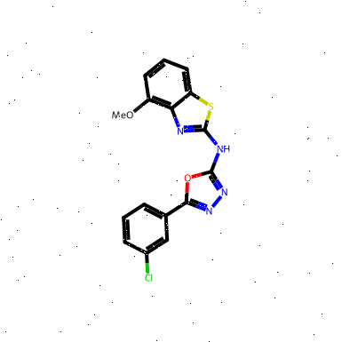 COc1cccc2sc(Nc3nnc(-c4cccc(Cl)c4)o3)nc12